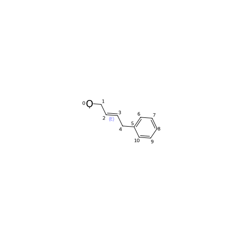 [O]C/C=C/Cc1ccccc1